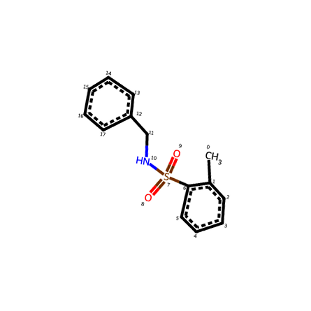 Cc1ccccc1S(=O)(=O)NCc1ccccc1